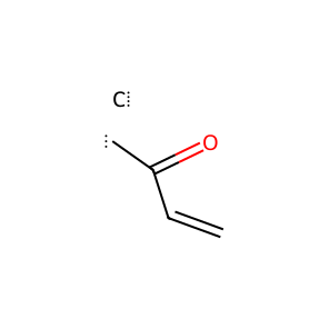 [C].[C]C(=O)C=C